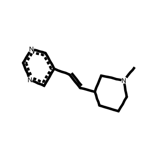 CN1CCCC(C=Cc2cncnc2)C1